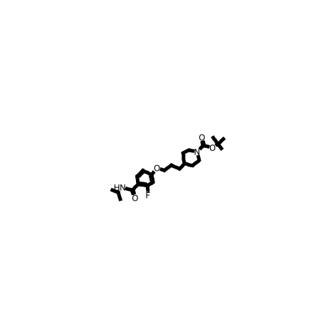 CC(C)NC(=O)c1ccc(OCCCC2CCN(C(=O)OC(C)(C)C)CC2)cc1F